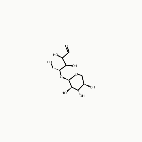 O=C[C@H](O)[C@@H](O)[C@@H](CO)O[C@H]1OC[C@@H](O)[C@H](O)[C@H]1O